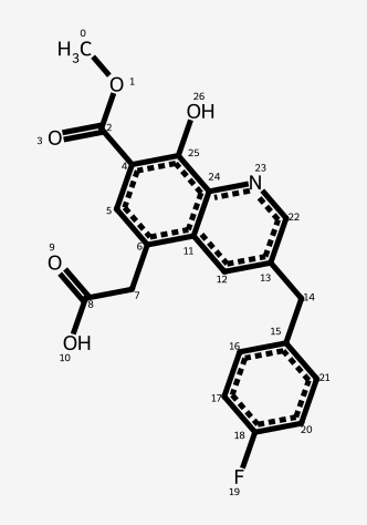 COC(=O)c1cc(CC(=O)O)c2cc(Cc3ccc(F)cc3)cnc2c1O